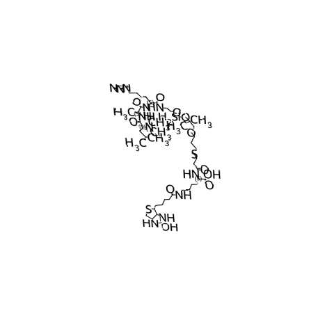 CC(C)C[C@@H](C(=O)N[C@@H](C)C(=O)N[C@@H](CCCCN=[N+]=[N-])C(=O)NCCO[SiH2]OC(C)(C)COCCCSCCC(=O)N[C@@H](CCCCNC(=O)CCCCC1SCC2NC(O)NC21)C(=O)O)N(C)C